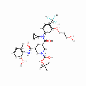 COCCCOc1cc(N(C(=O)[C@@H]2C[C@H](C(=O)Nc3c(C)cccc3OC)CN(C(=O)OC(C)(C)C)C2)C2CC2)ccc1C(F)(F)F